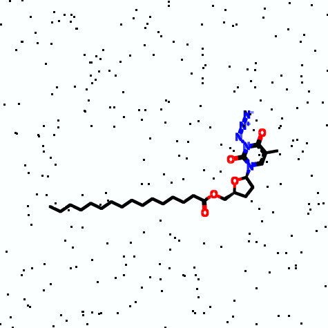 CCCCCCCCCCCCCCCC(=O)OC[C@@H]1CC[C@H](n2cc(C)c(=O)n(N=[N+]=[N-])c2=O)O1